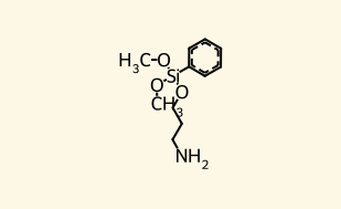 CO[Si](OC)(OCCCN)c1ccccc1